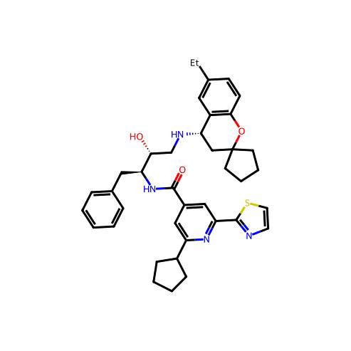 CCc1ccc2c(c1)[C@@H](NC[C@@H](O)[C@H](Cc1ccccc1)NC(=O)c1cc(-c3nccs3)nc(C3CCCC3)c1)CC1(CCCC1)O2